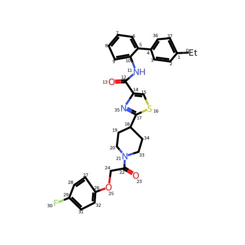 CCc1ccc(-c2ccccc2NC(=O)c2csc(C3CCN(C(=O)COc4ccc(F)cc4)CC3)n2)cc1